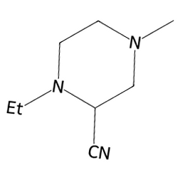 CCN1CCN(C)CC1C#N